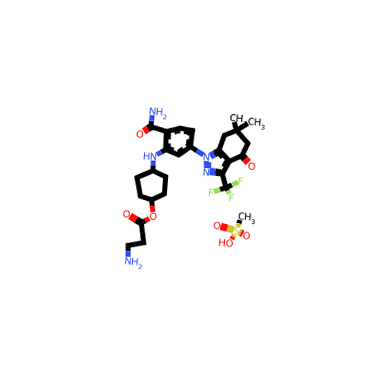 CC1(C)CC(=O)c2c(C(F)(F)F)nn(-c3ccc(C(N)=O)c(NC4CCC(OC(=O)CCN)CC4)c3)c2C1.CS(=O)(=O)O